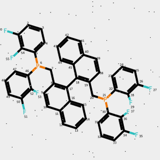 Fc1cccc(P(Cc2ccc3ccccc3c2-c2c(CP(c3cccc(F)c3F)c3cccc(F)c3F)ccc3ccccc23)c2cccc(F)c2F)c1F